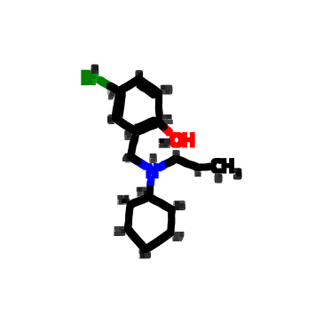 CCCN(Cc1cc(Br)ccc1O)C1CCCCC1